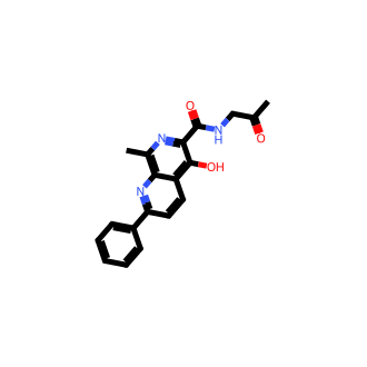 CC(=O)CNC(=O)c1nc(C)c2nc(-c3ccccc3)ccc2c1O